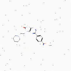 CCOC(=N)c1ccc(-c2cnc3[nH]c(=O)n(CCN4CCCCC4)c3n2)cc1.Cl